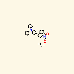 COCCN1C(=O)c2cccc3c(-c4ccc(N(c5ccccc5)c5ccccc5)cc4)ccc1c23